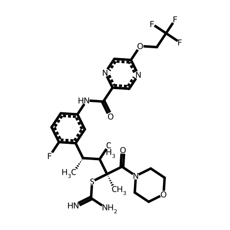 CC([C@H](C)c1cc(NC(=O)c2cnc(OCC(F)(F)F)cn2)ccc1F)[C@](C)(SC(=N)N)C(=O)N1CCOCC1